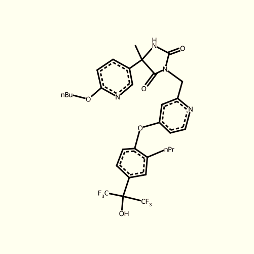 CCCCOc1ccc(C2(C)NC(=O)N(Cc3cc(Oc4ccc(C(O)(C(F)(F)F)C(F)(F)F)cc4CCC)ccn3)C2=O)cn1